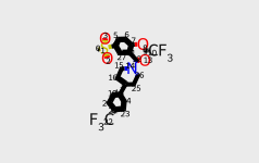 CS(=O)(=O)c1ccc(OCC(F)(F)F)c(C(=O)N2CC=C(c3ccc(C(F)(F)F)cc3)CC2)c1